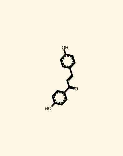 O=C(C=Cc1ccc(O)cc1)c1ccc(O)cc1